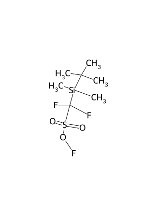 CC(C)(C)[Si](C)(C)C(F)(F)S(=O)(=O)OF